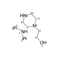 CC(C)NC(C)C.OCCN1CCNCC1